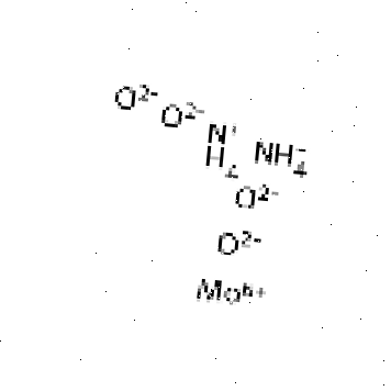 [Mo+6].[NH4+].[NH4+].[O-2].[O-2].[O-2].[O-2]